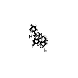 Cc1ccc(C(=O)Nc2cc(F)cc([C@]34CO[C@@H](C)C[C@@]3(F)CSC(N)=N4)c2)nc1